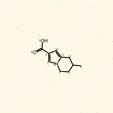 CC1CCn2cc(C(=O)O)cc2C1